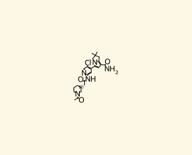 CC(=O)N1CCC[C@H](CC(=O)Nc2cc(-c3cc(C(N)=O)c4n3CC(C)(C)C4)c(Cl)cn2)C1